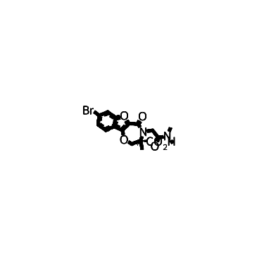 CN(C)C(=O)CN1C(=O)c2oc3cc(Br)ccc3c2OC[C@]1(C)C(=O)O